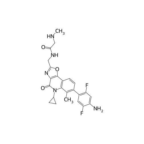 CNCC(=O)NCc1nc2c(=O)n(C3CC3)c3c(C)c(-c4cc(F)c(N)cc4F)ccc3c2o1